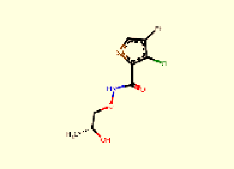 CCc1csc(C(=O)NOC[C@@H](C)O)c1Cl